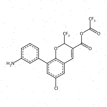 Nc1cccc(-c2cc(Cl)cc3c2OC(C(F)(F)F)C(C(=O)OC(=O)C(F)(F)F)=C3)c1